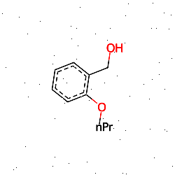 [CH2]CCOc1ccccc1CO